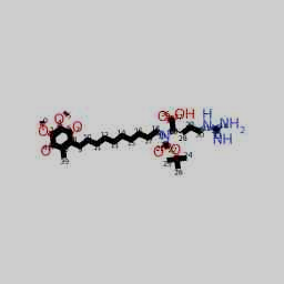 COC1=C(OC)C(=O)C(CCCCCCCCCCN(C(=O)OC(C)(C)C)[C@@H](CCCNC(=N)N)C(=O)O)=C(C)C1=O